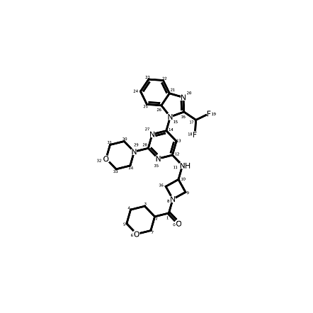 O=C(C1CCCOC1)N1CC(Nc2cc(-n3c(C(F)F)nc4ccccc43)nc(N3CCOCC3)n2)C1